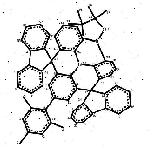 Cc1cc(C)c(-c2cc3c4c(c2)C2(c5ccccc5-c5ccccc52)c2cccc(B5OC(C)(C)C(C)(C)O5)c2N4c2ccccc2C32c3ccccc3-c3ccccc32)c(C)c1